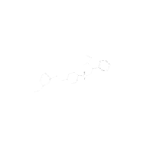 COc1cccc(COC2CCN(S(=O)(=O)CC(c3ccccc3)N(O)C=O)CC2)c1